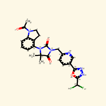 CC(=O)N1CCc2c1cccc2N1C(=O)N(Cc2ccc(-c3nnc(C(F)F)o3)cn2)C(=O)C1(C)C